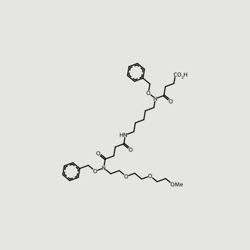 COCCOCCOCCN(OCc1ccccc1)C(=O)CCC(=O)NCCCCCN(OCc1ccccc1)C(=O)CCC(=O)O